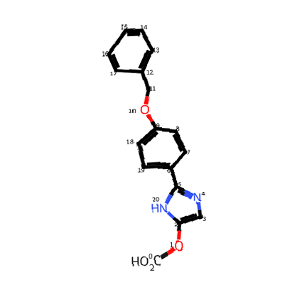 O=C(O)Oc1cnc(-c2ccc(OCc3ccccc3)cc2)[nH]1